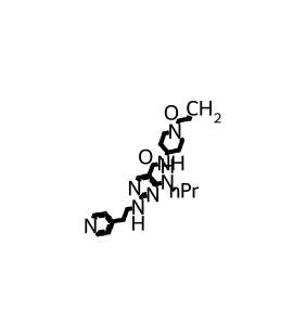 C=CC(=O)N1CCC(NC(=O)c2cnc(NCCc3ccncc3)nc2NCCC)CC1